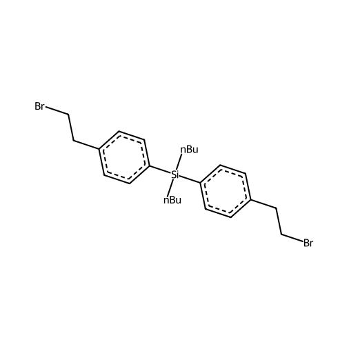 CCCC[Si](CCCC)(c1ccc(CCBr)cc1)c1ccc(CCBr)cc1